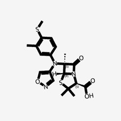 CSc1ccc(N(c2cnoc2)[C@@]2(C)C(=O)N3[C@@H](C(=O)O)C(C)(C)S[C@@H]32)cc1C